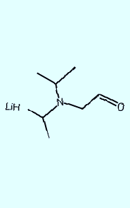 CC(C)N(CC=O)C(C)C.[LiH]